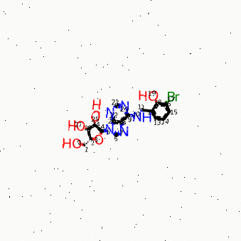 OC[C@H]1OC(n2cnc3c(NCc4cccc(Br)c4O)ncnc32)[C@H](O)[C@@H]1O